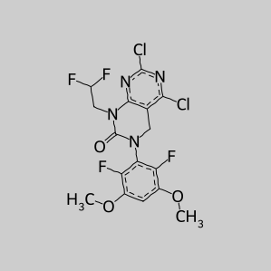 COc1cc(OC)c(F)c(N2Cc3c(Cl)nc(Cl)nc3N(CC(F)F)C2=O)c1F